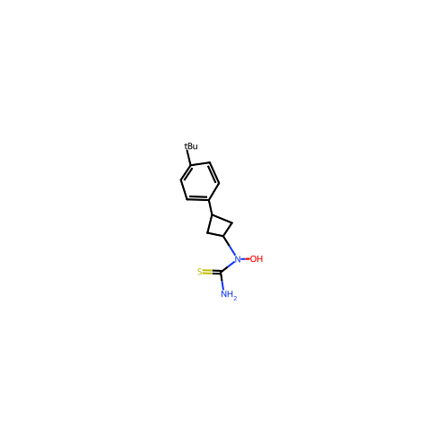 CC(C)(C)c1ccc(C2CC(N(O)C(N)=S)C2)cc1